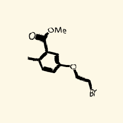 COC(=O)c1cc(OCCBr)ccc1C